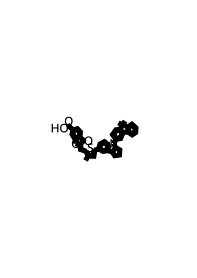 Cc1cc(-c2ccc3c(c2)C2CCCC2N3c2ccc3c(c2)-c2ccccc2C3(C)C)sc1/C=C1/Oc2cc(C(=O)O)ccc2C1=O